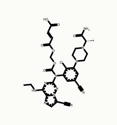 CCNc1nc(N(C(=O)OCOC(=O)/C=C/C(=O)O)c2cc(C#N)cc(N3CCN([C@@H](C)C(N)=O)CC3)c2Cl)nn2c(C#N)cnc12